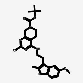 COc1ccc2[nH]c(C)c(CCNc3nc(Cl)nc4c3CCN(C(=O)OC(C)(C)C)C4)c2c1